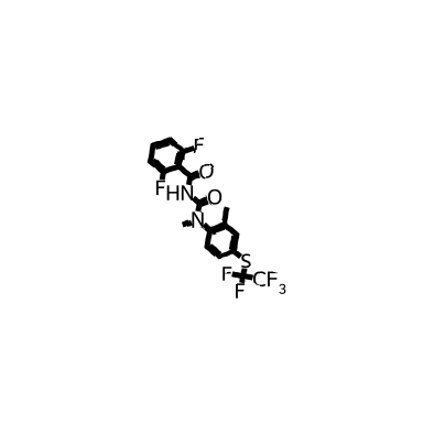 Cc1cc(SC(F)(F)C(F)(F)F)ccc1N(C)C(=O)NC(=O)c1c(F)cccc1F